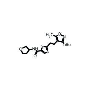 CCCCc1noc(C)c1CCc1ncc(C(=O)NC2CCOC2)s1